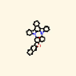 c1ccc(-n2c3ccccc3c3c4ccccc4c4c5ccccc5n(-c5ccc6oc7cc8ccccc8cc7c6c5)c4c32)cc1